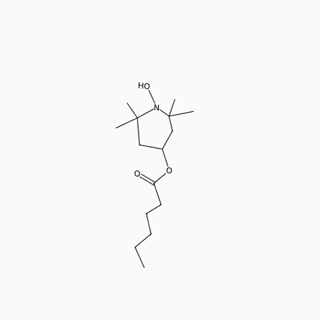 CCCCCC(=O)OC1CC(C)(C)N(O)C(C)(C)C1